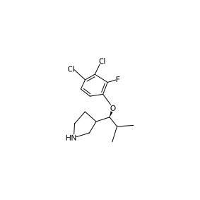 CC(C)[C@H](Oc1ccc(Cl)c(Cl)c1F)C1CCNC1